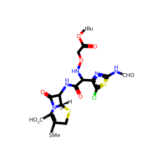 CSC1=C(C(=O)O)N2C(=O)C(NC(=O)C(NOCC(=O)OC(C)(C)C)c3nc(NC=O)sc3Cl)[C@@H]2SC1